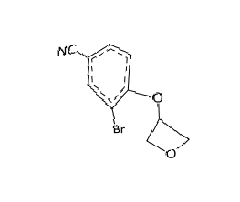 N#Cc1ccc(OC2COC2)c(Br)c1